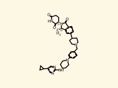 C[C@@H]1c2cc(C3CCN(Cc4ccc(N5CCC(Nc6ncc(C7CC7)cn6)CC5)cc4)CC3)ccc2C(=O)N1[C@H]1CCC(=O)NC1=O